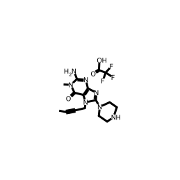 CC#CCn1c(N2CCNCC2)nc2nc(N)n(C)c(=O)c21.O=C(O)C(F)(F)F